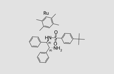 CC(C)(C)c1ccc(S(=O)(=O)N[C@H](c2ccccc2)[C@H](N)c2ccccc2)cc1.Cc1cc(C)c(C)cc1C.[Ru]